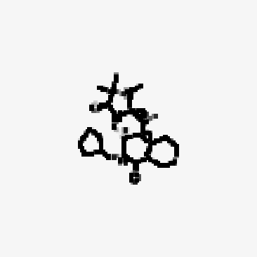 COC(=O)[C@@H](CN1C(=O)N(C)C(C)(C)C1=O)[C@@H](CC1CCCC1)C(=O)N1CCCCC1